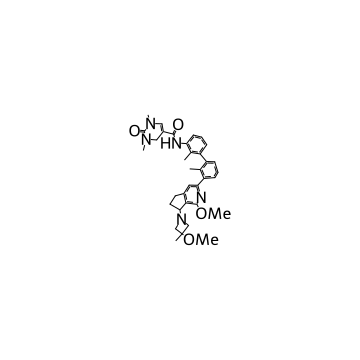 COc1nc(-c2cccc(-c3cccc(NC(=O)C4=CN(C)C(=O)N(C)C4)c3C)c2C)cc2c1C(N1CC(C)(OC)C1)CC2